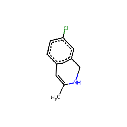 CC1=Cc2ccc(Cl)cc2CN1